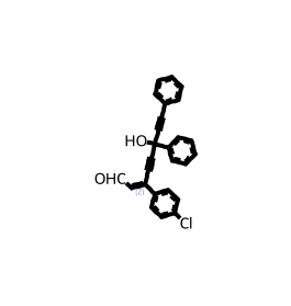 O=C/C=C(\C#CC(O)(C#Cc1ccccc1)c1ccccc1)c1ccc(Cl)cc1